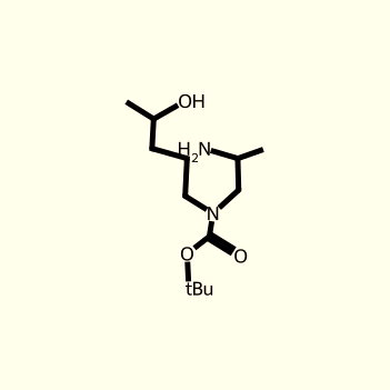 CC(N)CN(CCCC(C)O)C(=O)OC(C)(C)C